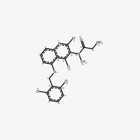 CCc1nc2cccc(OCc3c(Cl)cccc3Cl)c2c(Cl)c1N(C)C(=O)CN